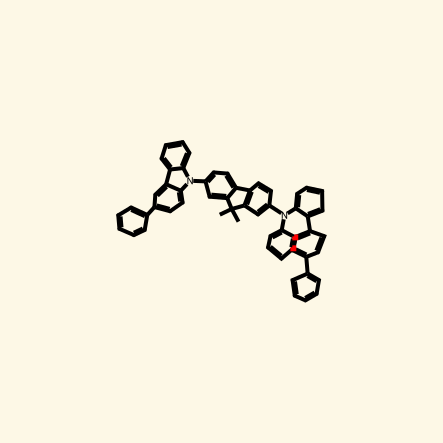 CC1(C)c2cc(N(c3ccccc3)c3ccccc3-c3ccc(-c4ccccc4)cc3)ccc2-c2ccc(-n3c4ccccc4c4cc(-c5ccccc5)ccc43)cc21